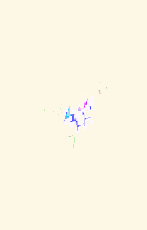 Cc1c(CNC(=O)NCCC2C3CC4CC(C3)CC2C4)nn(-c2ccc(Cl)cc2Cl)c1-c1ccc(Cl)cc1